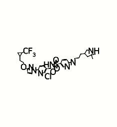 CN(CCCC1CNC(C)(C)C1)c1ccc(S(=O)(=O)NC(=O)c2ccc(-n3ccc(OCCC4CC4C(F)(F)F)n3)nc2Cl)cn1